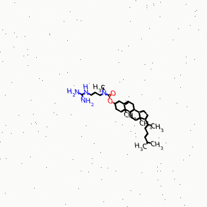 CC(C)CCCC(C)C1CCC2C3CC=C4CC(OC(=O)N(C)CCCNC(N)N)CCC4(C)C3CCC12C